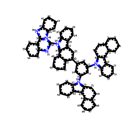 c1ccc2c(c1)ccc1c2c2ccccc2n1-c1cc(-c2cc3c4ccccc4n(-c4nc5ccccc5c5nc6ccccc6n45)c3c3ccccc23)cc(-n2c3ccccc3c3c4ccccc4ccc32)c1